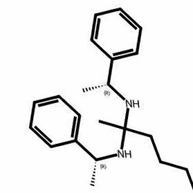 CCCCC(C)(N[C@H](C)c1ccccc1)N[C@H](C)c1ccccc1